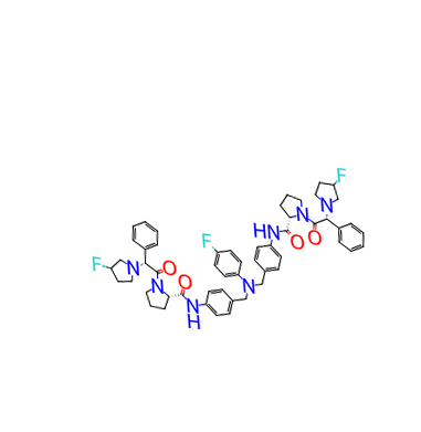 O=C(Nc1ccc(CN(Cc2ccc(NC(=O)[C@@H]3CCCN3C(=O)[C@@H](c3ccccc3)N3CC[C@@H](F)C3)cc2)c2ccc(F)cc2)cc1)[C@@H]1CCCN1C(=O)[C@@H](c1ccccc1)N1CC[C@@H](F)C1